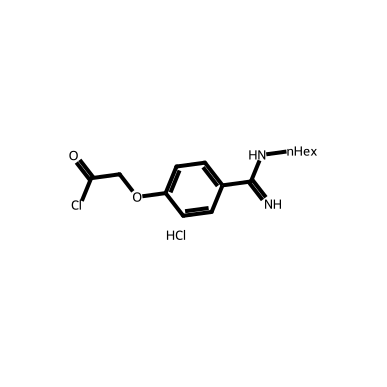 CCCCCCNC(=N)c1ccc(OCC(=O)Cl)cc1.Cl